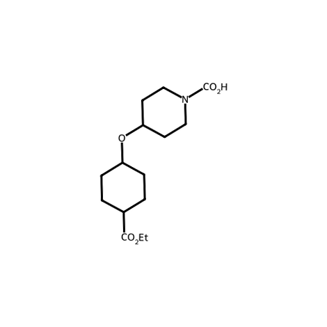 CCOC(=O)C1CCC(OC2CCN(C(=O)O)CC2)CC1